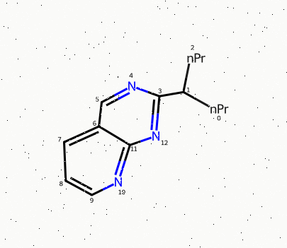 CCCC(CCC)c1ncc2cccnc2n1